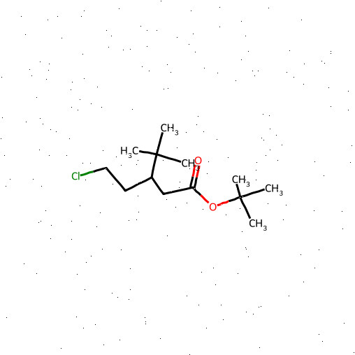 CC(C)(C)OC(=O)CC(CCCl)C(C)(C)C